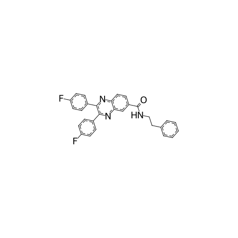 O=C(NCCc1ccccc1)c1ccc2nc(-c3ccc(F)cc3)c(-c3ccc(F)cc3)nc2c1